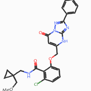 COCC1(CNC(=O)c2c(Cl)cccc2OCc2cc(=O)n3nc(-c4ccccc4)nc3[nH]2)CC1